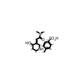 CN(C)C(=O)C=C1CNCCC1O.Cc1ccc(S(=O)(=O)O)cc1